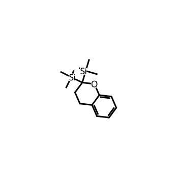 C[Si](C)(C)C1([Si](C)(C)C)CCc2ccccc2O1